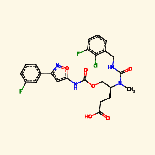 CN(C(=O)NCc1cccc(F)c1Cl)[C@@H](CCC(=O)O)COC(=O)Nc1cc(-c2cccc(F)c2)no1